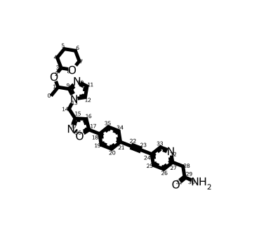 CC(OC1CCCCO1)c1nccn1Cc1cc(-c2ccc(C#Cc3ccc(CC(N)=O)nc3)cc2)on1